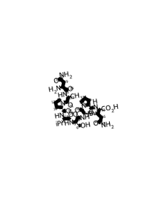 CC[C@H](C)[C@H](NC(=O)[C@H](CO)NC(=O)[C@@H](NC(=O)[C@@H]1CCCN1C(=O)[C@H](C)NC(=O)[C@@H](N)CC(N)=O)C(C)C)C(=O)N1CCC[C@H]1C(=O)N[C@@H](CCC(N)=O)C(=O)O